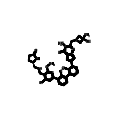 COc1nc(-c2cccc(-c3cccc(-c4cc5c(=O)n(C)c(CN6CC(C)(O)C6)nn5c4)c3Cl)c2Cl)cc(Cl)c1CNC[C@@H]1CCC(=O)N1